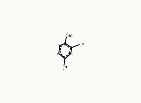 N#Cc1ccc(C=O)c(C#N)c1